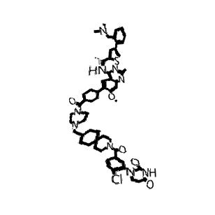 COc1cc2nc(C)nc(N[C@H](C)c3cc(-c4ccccc4CN(C)C)cs3)c2cc1C1CCC(C(=O)N2CCN(CC3CCC4(CC3)CCN(C(=O)c3ccc(Cl)c(N5CCC(=O)NC5=O)c3)CC4)CC2)CC1